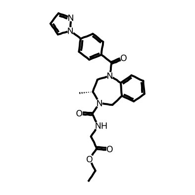 CCOC(=O)CNC(=O)N1Cc2ccccc2N(C(=O)c2ccc(-n3cccn3)cc2)C[C@H]1C